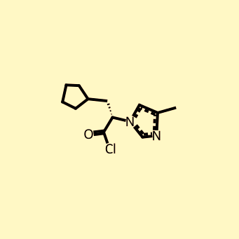 Cc1cn([C@@H](CC2CCCC2)C(=O)Cl)cn1